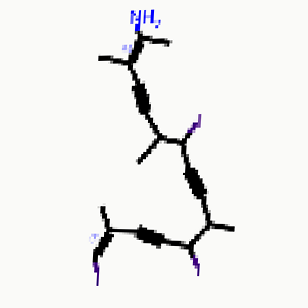 C/C(C#CC(I)C(C)C#CC(I)C(C)C#C/C(C)=C(\C)N)=C/I